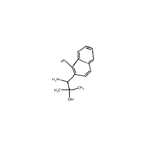 CCCc1c(C(N)C(C)(C)O)ccc2ccccc12